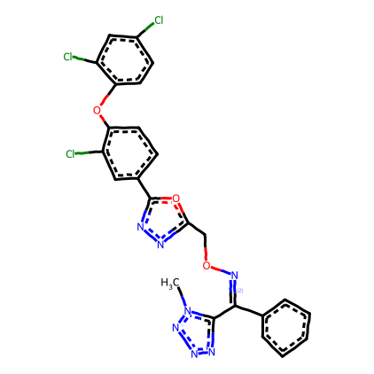 Cn1nnnc1/C(=N\OCc1nnc(-c2ccc(Oc3ccc(Cl)cc3Cl)c(Cl)c2)o1)c1ccccc1